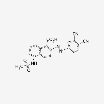 CS(=O)(=O)Nc1cccc2c(C(=O)O)c(N=Nc3ccc(C#N)c(C#N)c3)ccc12